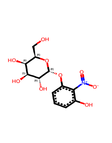 O=[N+]([O-])c1c(O)cccc1O[C@H]1O[C@H](CO)[C@H](O)[C@H](O)[C@H]1O